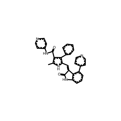 Cc1[nH]c(/C=C2\C(=O)Nc3cccc(-c4ccncc4)c32)c(-c2ccccc2)c1C(=O)Nc1ccncc1